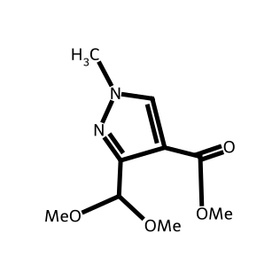 COC(=O)c1cn(C)nc1C(OC)OC